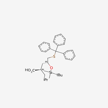 CC(C)C[C@H](C[C@H](CSC(c1ccccc1)(c1ccccc1)c1ccccc1)O[Si](C)(C)C(C)(C)C)C(=O)O